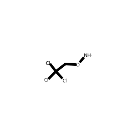 [NH]OCC(Cl)(Cl)Cl